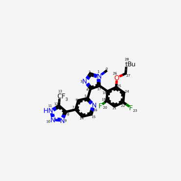 Cn1cnc(-c2cc(-c3nn[nH]c3C(F)(F)F)ccn2)c1-c1c(F)cc(F)cc1OCC(C)(C)C